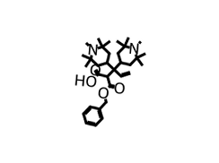 C=CC(C1CC(C)(C)N(C)C(C)(C)C1)(C1CC(C)(C)N(C)C(C)(C)C1)C(C(=O)O)C(=O)OCc1ccccc1